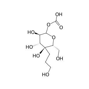 O=C(O)OC1O[C@H](CO)[C@](O)(CCCO)[C@H](O)[C@H]1O